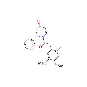 [CH2]c1cc(OC)c(OC)cc1CC(=O)N1C=CC(=O)CC1c1ccccc1